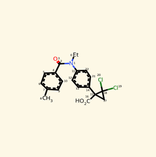 CCN(C(=O)c1ccc(C)cc1)c1ccc(C2(C(=O)O)CC2(Cl)Cl)cc1